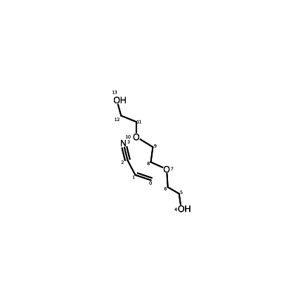 C=CC#N.OCCOCCOCCO